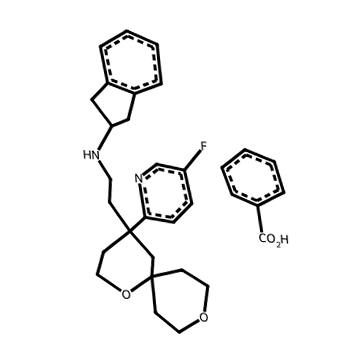 Fc1ccc(C2(CCNC3Cc4ccccc4C3)CCOC3(CCOCC3)C2)nc1.O=C(O)c1ccccc1